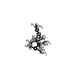 Cc1nc(-c2ccc(OC(C)C)cc2)ncc1C(=O)N[C@@H](CCN)C(=O)N(C)C1C(=O)N[C@@H](C)C(=O)NC(C(=O)O)Cc2ccc(OC[C@H](O)CN)c(c2)-c2cc1cc(OC[C@H](O)CN)c2O